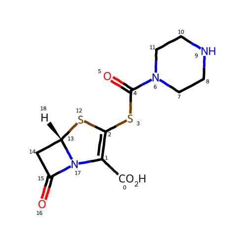 O=C(O)C1=C(SC(=O)N2CCNCC2)S[C@H]2CC(=O)N12